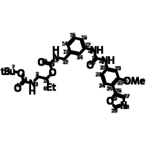 CCC(CNC(=O)OC(C)(C)C)OC(=O)NCc1cccc(NC(=O)Nc2ccc(-c3cnco3)c(OC)c2)c1